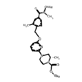 CON(C)C(=O)c1ccc(COc2cccc(N3CCN(C(=O)OC(C)(C)C)[C@@H](C)C3)n2)c(C)c1